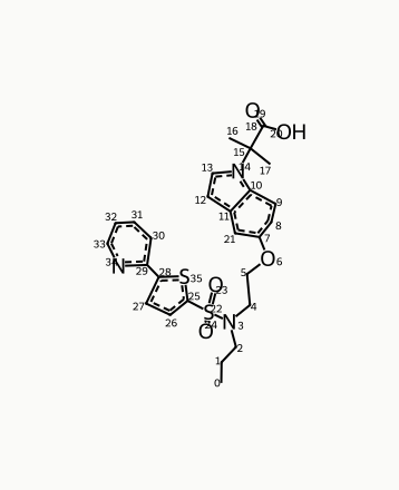 CCCN(CCOc1ccc2c(ccn2C(C)(C)C(=O)O)c1)S(=O)(=O)c1ccc(-c2ccccn2)s1